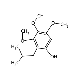 COc1cc(O)c(CC(C)C)c(OC)c1OC